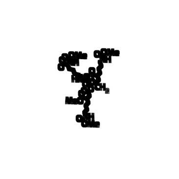 C=C(CC(CCCCNC(=O)OC)C(=O)OC)OC(OC(=O)CC(CCCCNC(=O)OC)C(=O)OC)OC(=O)NCCCCC(NC(=O)OC)C(=O)OC